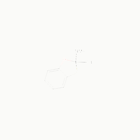 CNC1(C)Oc2ccccc2S1